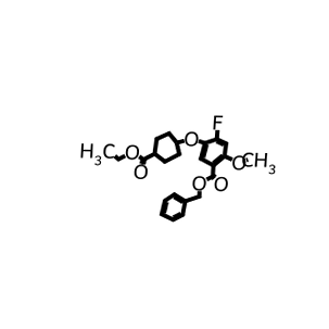 CCOC(=O)C1CCC(Oc2cc(C(=O)OCc3ccccc3)c(OC)cc2F)CC1